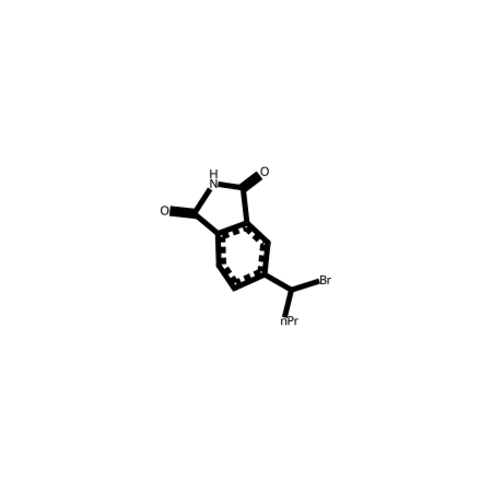 CCCC(Br)c1ccc2c(c1)C(=O)NC2=O